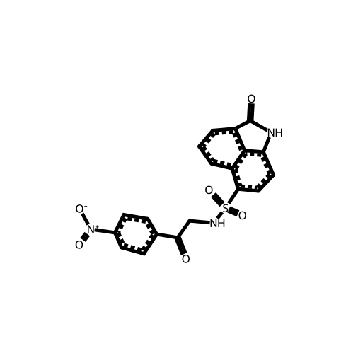 O=C(CNS(=O)(=O)c1ccc2c3c(cccc13)C(=O)N2)c1ccc([N+](=O)[O-])cc1